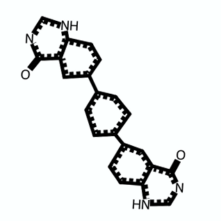 O=c1nc[nH]c2ccc(-c3ccc(-c4ccc5[nH]cnc(=O)c5c4)cc3)cc12